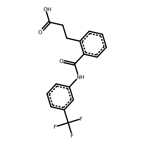 O=C(O)CCc1ccccc1C(=O)Nc1cccc(C(F)(F)F)c1